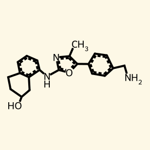 Cc1nc(Nc2cccc3c2CC(O)CC3)oc1-c1ccc(CN)cc1